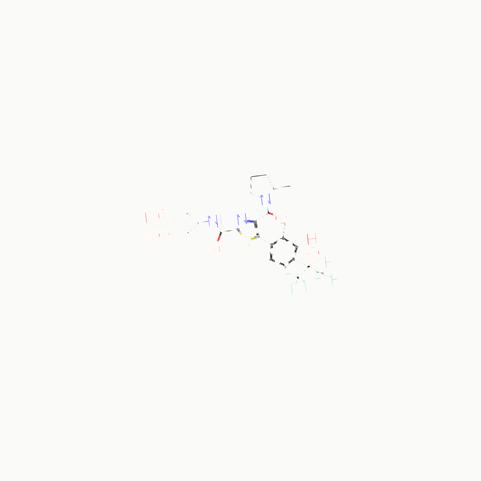 Cc1cc(C(O)(C(F)(F)F)C(F)(F)F)ccc1-c1sc(C(=O)NC2CS(O)(O)C2)nc1C(=O)N1CCCC1C